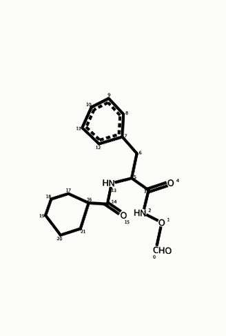 O=CONC(=O)C(Cc1ccccc1)NC(=O)C1CCCCC1